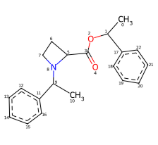 CC(OC(=O)C1CCN1C(C)c1ccccc1)c1ccccc1